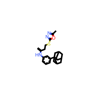 C=C(CCSc1nnc(C)o1)Nc1cccc(C23CC4CC(CC(C4)C2)C3)c1